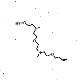 C=CCCOCCN(C)CCOCCN(C)CCOCCC